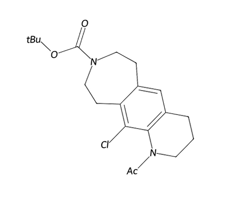 CC(=O)N1CCCc2cc3c(c(Cl)c21)CCN(C(=O)OC(C)(C)C)CC3